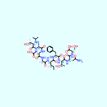 CC[C@H](C)[C@H](NC(=O)[C@H](C)NC(=O)[C@H](CC(=O)O)NC(=O)[C@H](C)NC(=O)[C@@H](NC(C)C)[C@@H](C)O)C(=O)N[C@@H](Cc1ccccc1)C(=O)N[C@H](C(=O)N[C@@H](CC(N)=O)C(=O)N[C@@H](CO)C(=O)O)[C@@H](C)O